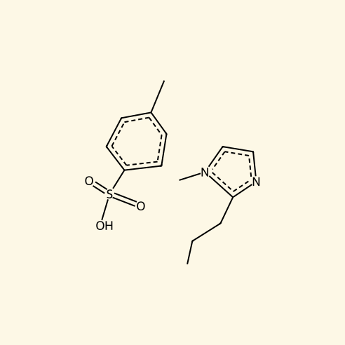 CCCc1nccn1C.Cc1ccc(S(=O)(=O)O)cc1